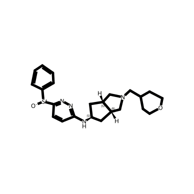 [O-][S+](c1ccccc1)c1ccc(N[C@H]2C[C@@H]3CN(CC4CCOCC4)C[C@@H]3C2)nn1